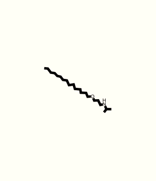 CCCCCCCCCCCCCCCOCCCNC(C)C